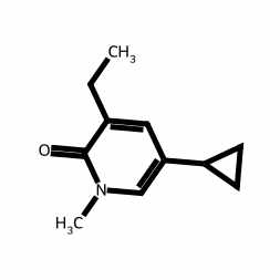 CCc1cc(C2CC2)cn(C)c1=O